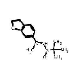 C[C@H](N[S+]([O-])C(C)(C)C)c1ccc2c(c1)OCC2